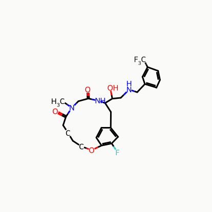 CN1CC(=O)NC(C(O)CNCc2cccc(C(F)(F)F)c2)Cc2ccc(c(F)c2)OCCCCC1=O